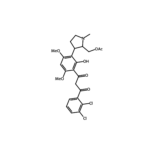 COc1cc(OC)c(C2CCN(C)C2COC(C)=O)c(O)c1C(=O)CC(=O)c1cccc(Cl)c1Cl